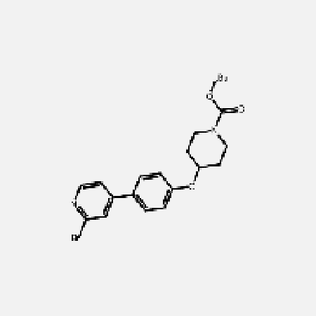 CC(C)(C)OC(=O)N1CCC(Oc2ccc(-c3ccnc(Br)c3)cc2)CC1